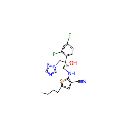 CCCCc1cc(C#N)c(NC[C@@](O)(Cn2cncn2)c2ccc(F)cc2F)s1